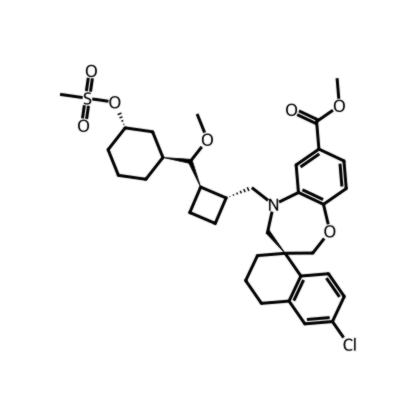 COC(=O)c1ccc2c(c1)N(C[C@@H]1CC[C@H]1C(OC)[C@H]1CCC[C@H](OS(C)(=O)=O)C1)C[C@@]1(CCCc3cc(Cl)ccc31)CO2